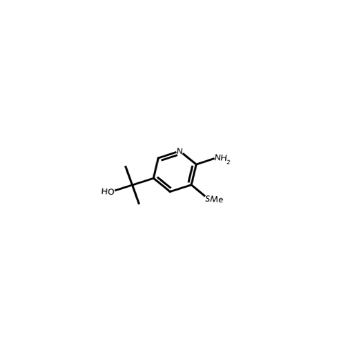 CSc1cc(C(C)(C)O)cnc1N